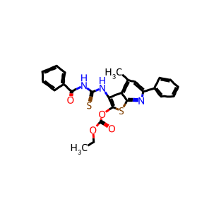 CCOC(=O)Oc1sc2nc(-c3ccccc3)cc(C)c2c1NC(=S)NC(=O)c1ccccc1